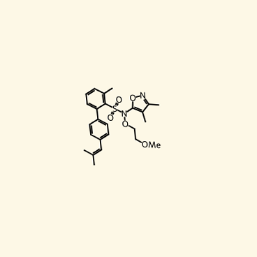 COCCON(c1onc(C)c1C)S(=O)(=O)c1c(C)cccc1-c1ccc(C=C(C)C)cc1